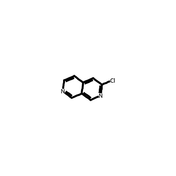 Clc1cc2ccncc2cn1